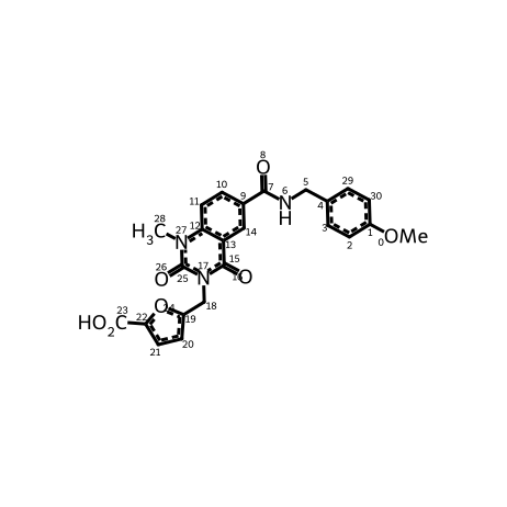 COc1ccc(CNC(=O)c2ccc3c(c2)c(=O)n(Cc2ccc(C(=O)O)o2)c(=O)n3C)cc1